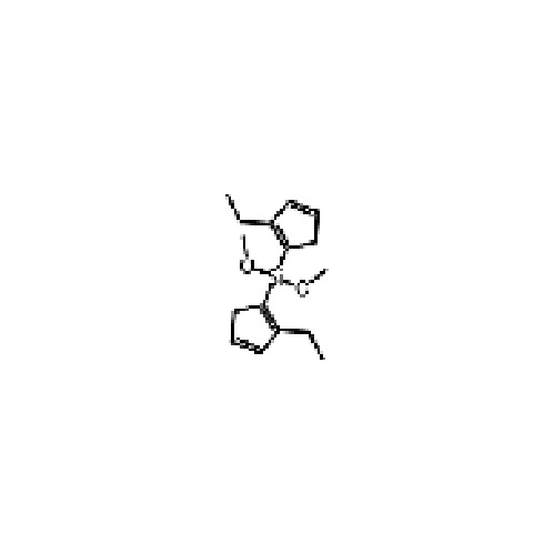 CCC1=C([Si](OC)(OC)C2=C(CC)C=CC2)CC=C1